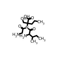 CCCC(CO)(C(=O)O)N(C(=O)CN)C(=O)C(N)C(C)CC